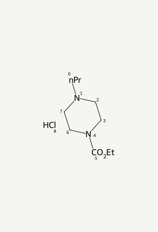 CCCN1CCN(C(=O)OCC)CC1.Cl